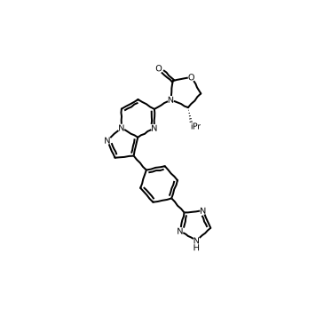 CC(C)[C@H]1COC(=O)N1c1ccn2ncc(-c3ccc(-c4nc[nH]n4)cc3)c2n1